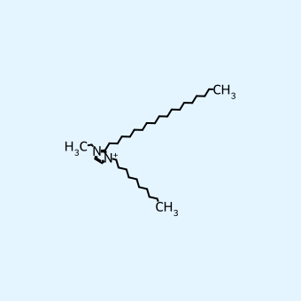 CCCCCCCCCCCCCCCCCCc1n(CC)cc[n+]1CCCCCCCCCC